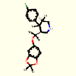 [2H]C1([2H])Oc2ccc(OC([2H])([2H])[C@@H]3CNCC([2H])([2H])C3([2H])c3ccc(F)cc3)cc2O1